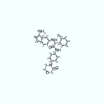 Nc1nsc2ccc(NC(C(=O)Nc3ccc(N4CCOCC4=O)cc3)c3ccccc3F)cc12